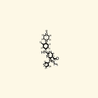 CCn1c(=O)c2cnc(Nc3ccc(N4CCN(C)CC4)c(C)c3)nc2n1-c1ccsc1